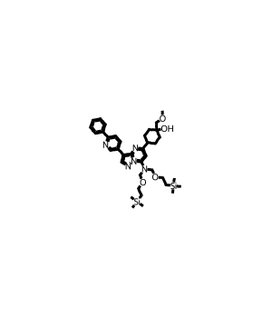 COCC1(O)CCC(c2cc(N(COCC[Si](C)(C)C)COCC[Si](C)(C)C)n3ncc(-c4ccc(-c5ccccc5)nc4)c3n2)CC1